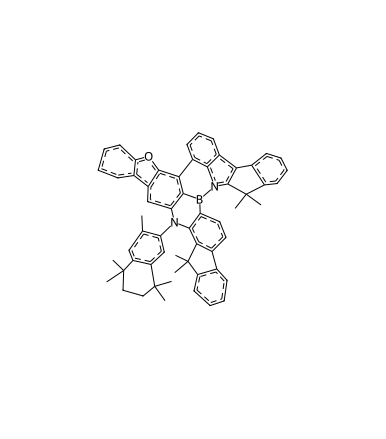 Cc1cc2c(cc1N1c3cc4c(oc5ccccc54)c4c3B(c3ccc5c(c31)C(C)(C)c1ccccc1-5)n1c3c(c5cccc-4c51)-c1ccccc1C3(C)C)C(C)(C)CCC2(C)C